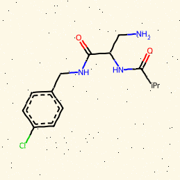 CC(C)C(=O)NC(CN)C(=O)NCc1ccc(Cl)cc1